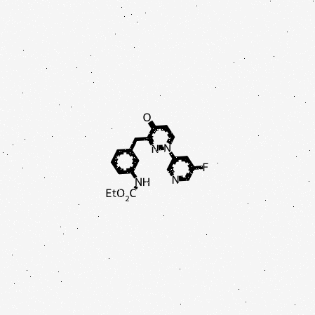 CCOC(=O)Nc1cccc(Cc2nn(-c3cncc(F)c3)ccc2=O)c1